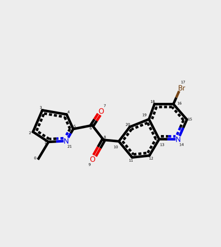 Cc1cccc(C(=O)C(=O)c2ccc3ncc(Br)cc3c2)n1